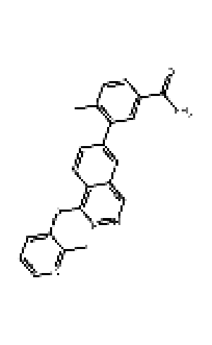 Cc1ccc(C(N)=O)cc1-c1ccc2c(Oc3cccnc3C)nncc2c1